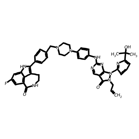 C=CCn1c(=O)c2cnc(Nc3ccc(N4CCN(Cc5ccc(-c6[nH]c7cc(F)cc8c7c6CCNC8=O)cc5)CC4)cc3)nc2n1-c1cccc(C(C)(C)O)n1